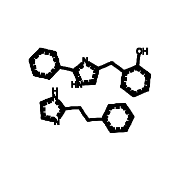 Oc1ccccc1Cc1c[nH]c(-c2ccccc2)n1.c1ccc(CCc2ncc[nH]2)cc1